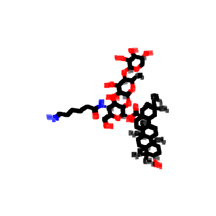 CC1O[C@@H](OC2C(O)[C@@H](NC(=O)CCCCCN)C(CO)O[C@H]2OC(=O)[C@]23CCC(C)(C)CC2C2=CCC4C5(C)CC[C@H](O)C(C)(C)[C@@H]5CC[C@]4(C)[C@]2(C)CC3O)C(O)C(O)[C@H]1O[C@@H]1OC[C@@H](O)C(O)C1O